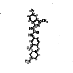 CN1CCN(Cc2ccc(NC(=O)Nc3nn(C)c4cc(Br)ccc34)cc2C(F)(F)F)CC1